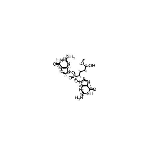 COC(O)[CH]CCP(=O)(On1cnc2c(=O)[nH]c(N)nc21)On1cnc2c(=O)[nH]c(N)nc21